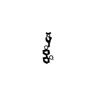 COc1ccccc1-c1ccc(OCC2C3CN(C(C)C)CC23)cc1